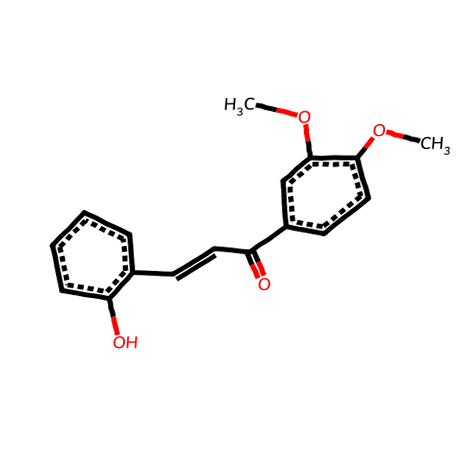 COc1ccc(C(=O)/C=C/c2ccccc2O)cc1OC